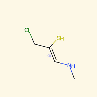 CN/C=C(\S)CCl